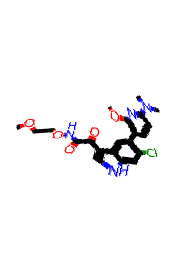 COCCONC(=O)C(=O)c1c[nH]c2cc(Cl)c(-c3ccc(N(C)C)nc3OC)cc12